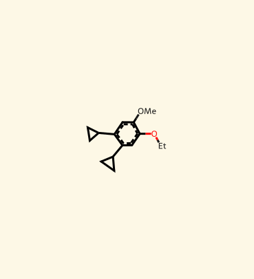 CCOc1cc(C2CC2)c(C2CC2)cc1OC